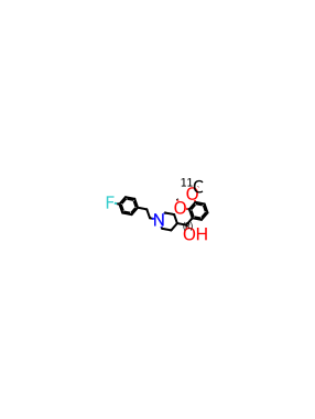 COc1c(O[11CH3])cccc1[C@H](O)C1CCN(CCc2ccc(F)cc2)CC1